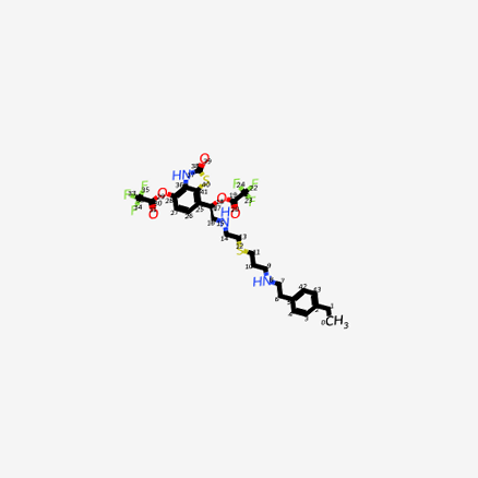 CCc1ccc(CCNCCCSCCNC[C@H](OC(=O)C(F)(F)F)c2ccc(OC(=O)C(F)(F)F)c3[nH]c(=O)sc23)cc1